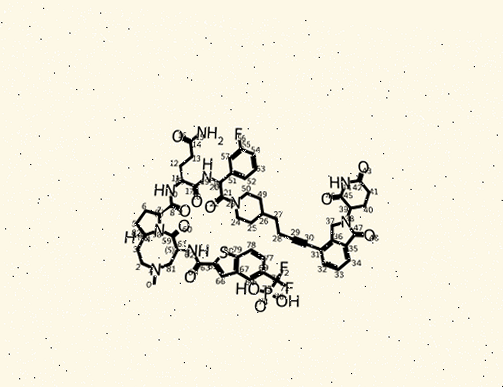 CN1CC[C@H]2CC[C@@H](C(=O)N[C@@H](CCC(N)=O)C(=O)N[C@H](C(=O)N3CCC(CCC#Cc4cccc5c4CN(C4CCC(=O)NC4=O)C5=O)CC3)c3cccc(F)c3)N2C(=O)[C@@H](NC(=O)c2cc3cc(C(F)(F)P(=O)(O)O)ccc3s2)C1